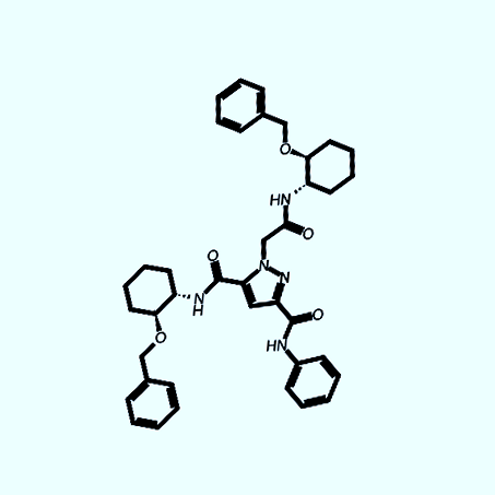 O=C(Cn1nc(C(=O)Nc2ccccc2)cc1C(=O)N[C@H]1CCCC[C@@H]1OCc1ccccc1)N[C@H]1CCCC[C@@H]1OCc1ccccc1